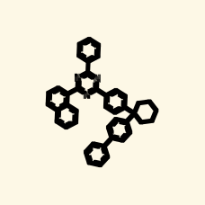 c1ccc(-c2ccc(C3(c4ccc(-c5nc(-c6ccccc6)nc(-c6cccc7ccccc67)n5)cc4)CCCCC3)cc2)cc1